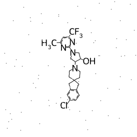 Cc1cc(C(F)(F)F)nc(N2CC(O)C(N3CCC4(CC3)Cc3ccc(Cl)cc3C4)C2)n1